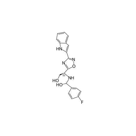 OC[C@H](NC(O)c1ccc(F)cc1)c1nc(-c2cc3ccccc3[nH]2)no1